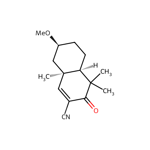 CO[C@H]1CC[C@H]2C(C)(C)C(=O)C(C#N)=C[C@@]2(C)C1